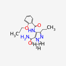 [2H]C([2H])([2H])n1nc(CCC)c(NC(=O)c2ccccc2OCCC)c1C(N)=O